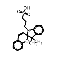 CC1(C)c2ccccc2N(CCCS(=O)(=O)O)C12C=Cc1ccccc1O2